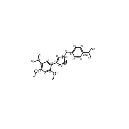 COc1cc(OC)c(C(C)C)cc1-c1cn(Cc2ccc(C(C)C)cc2)nn1